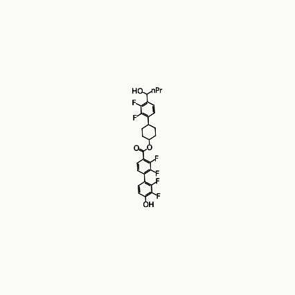 CCCC(O)c1ccc(C2CCC(OC(=O)c3ccc(-c4ccc(O)c(F)c4F)c(F)c3F)CC2)c(F)c1F